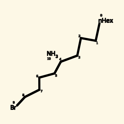 CCCCCCCCCCCCCCBr.N